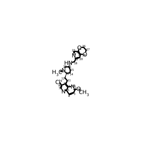 COc1ccc2ncc(Cl)c(CC[C@@H]3CC[C@@H](NCc4cc5c(cn4)OCCO5)CN3C)c2n1